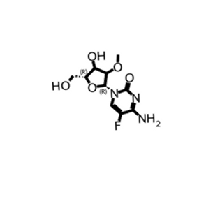 COC1C(O)[C@@H](CO)O[C@H]1n1cc(F)c(N)nc1=O